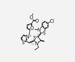 C=C1/C(=C2\Sc3cc(Cl)ccc3N2C)S/C(=C\c2scc[n+]2Cc2ccc(C(=O)OC)o2)N1CC